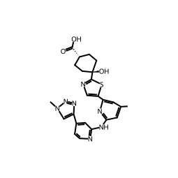 Cc1cc(Nc2cc(-c3cn(C)nn3)ccn2)nc(-c2cnc([C@]3(O)CC[C@H](C(=O)O)CC3)s2)c1